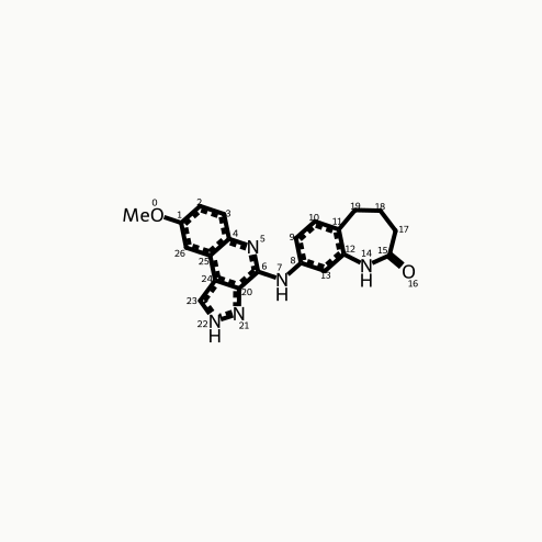 COc1ccc2nc(Nc3ccc4c(c3)NC(=O)CCC4)c3n[nH]cc3c2c1